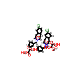 Clc1ccc2c(c1)C1CN(Cc3ccccc3)CC2O1.Clc1ccc2c(c1)C1CN(Cc3ccccc3)CC2O1.O.O=C(O)C(=O)O.O=C(O)C(=O)O